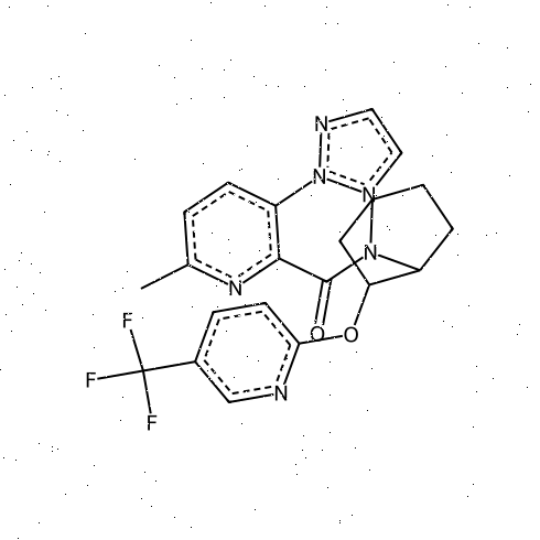 Cc1ccc(-n2nccn2)c(C(=O)N2C3CCC2C(Oc2ccc(C(F)(F)F)cn2)C3)n1